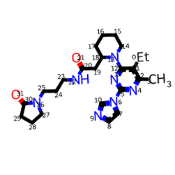 CCc1c(C)nc(-n2ccnc2)nc1N1CCCCC1CC(=O)NCCCN1CCCC1=O